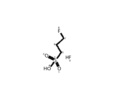 F.O=S(=O)(O)CCCF